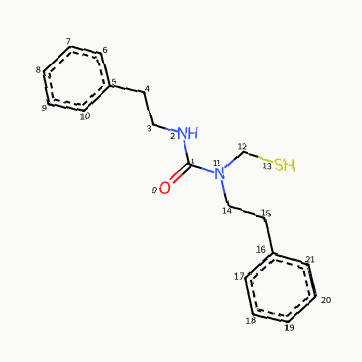 O=C(NCCc1ccccc1)N(CS)CCc1ccccc1